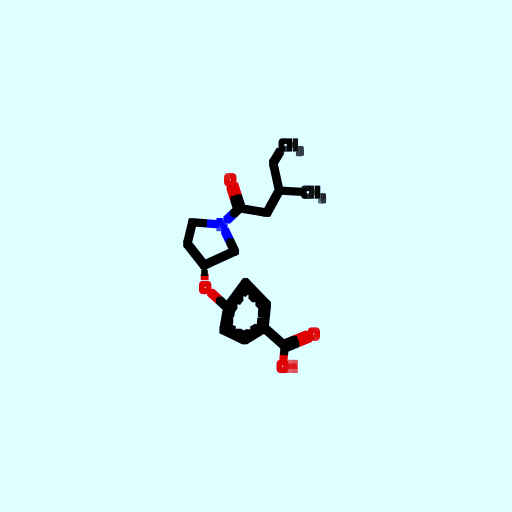 CCC(C)CC(=O)N1CC[C@@H](Oc2ccc(C(=O)O)cc2)C1